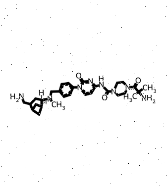 CN(Cc1ccc(-n2ccc(NC(=O)N3CCN(C(=O)C(C)(C)N)CC3)nc2=O)cc1)[C@@H]1CC(CN)C2CC1C2